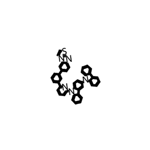 c1cc(-c2ccc3nc4sccn4c3c2)cc(-c2cccc(-n3c4ccccc4c4cc(-n5c6ccccc6c6ccccc65)ccc43)n2)c1